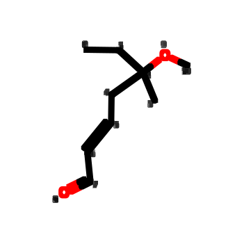 CCC(C)(CC=CC=O)OC